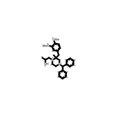 COc1ccc(CC2(C)CN(C(c3ccccc3)c3ccccc3)CCN2CC(C)O)cc1OC